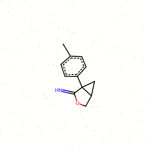 Cc1ccc(C23CC2COC3=N)cc1